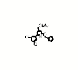 COCc1cc(OCc2ccccc2)nc(-c2cc(Cl)cc(Cl)c2)c1